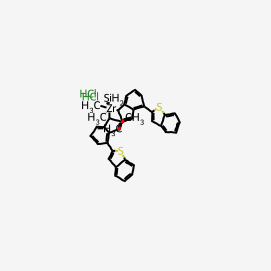 CC1=Cc2c(-c3cc4ccccc4s3)cccc2[CH]1[Zr]([CH3])([CH3])(=[SiH2])[CH]1C(C)=Cc2c(-c3cc4ccccc4s3)cccc21.Cl.Cl